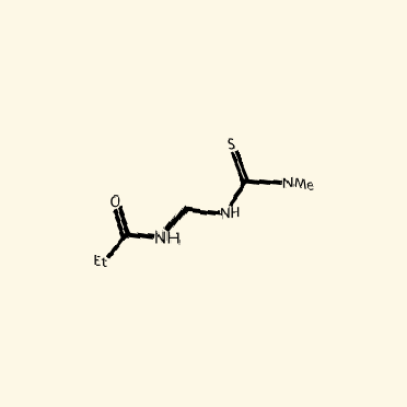 CCC(=O)NCNC(=S)NC